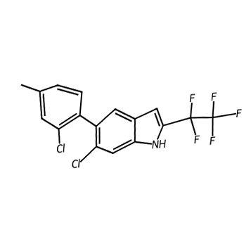 Cc1ccc(-c2cc3cc(C(F)(F)C(F)(F)F)[nH]c3cc2Cl)c(Cl)c1